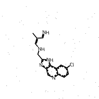 C/C(C=N)=C/NCc1nc2cnc3ccc(Cl)cc3c2[nH]1